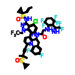 CC=CC1([S+]([O-])Nc2nn(CC(F)(F)F)c3c(-c4ccc(C#CC(C)(C)[S+]([O-])C5CC5)nc4C(Cc4cc(F)cc(F)c4)NC(=O)CNC4=C(C(=N)C(F)F)C(F)(F)CCC4(F)F)ccc(Cl)c23)CC1